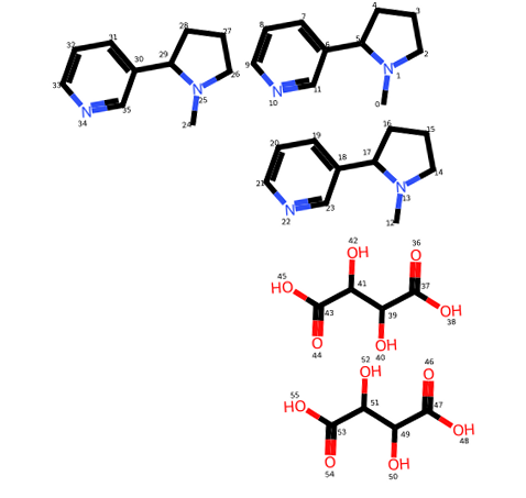 CN1CCCC1c1cccnc1.CN1CCCC1c1cccnc1.CN1CCCC1c1cccnc1.O=C(O)C(O)C(O)C(=O)O.O=C(O)C(O)C(O)C(=O)O